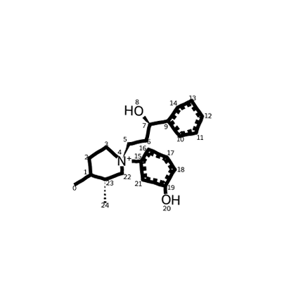 CC1CC[N@+](CC[C@@H](O)c2ccccc2)(c2cccc(O)c2)C[C@@H]1C